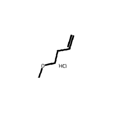 C=CCCOC.Cl